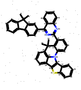 CC1(C)c2ccccc2-c2ccc(-c3nc(-c4cccc5c4C(C)(C)c4cccc6c7sc8ccccc8c7n-5c46)nc4ccccc34)cc21